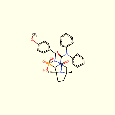 CCN(Cc1ccc(OC(F)(F)F)cc1)C(=O)N1[C@H]2CC[C@@H]1[C@@H](P(=O)(O)O)N(C(=O)N(c1ccccc1)c1ccccc1)C2